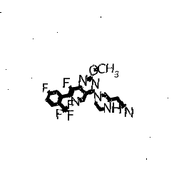 COc1nc(N2CCNC(CC#N)C2)c2cnc(-c3cc(F)ccc3C(F)(F)F)c(F)c2n1